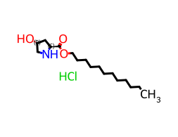 CCCCCCCCCCCCOC(=O)[C@@H]1C[C@@H](O)CN1.Cl